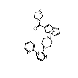 O=C(C1=CC2=CC=C[N@@+]2(N2CCN(c3nccn3-c3ccccn3)CC2)C1)N1CCSC1